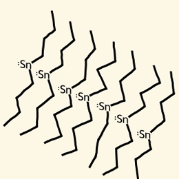 CCC[CH2][Sn][CH2]CCC.CCC[CH2][Sn][CH2]CCC.CCC[CH2][Sn][CH2]CCC.CCC[CH2][Sn][CH2]CCC.CCC[CH2][Sn][CH2]CCC.CCC[CH2][Sn][CH2]CCC.CCC[CH2][Sn][CH2]CCC